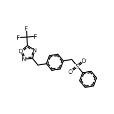 O=S(=O)(Cc1ccc(Cc2noc(C(F)(F)F)n2)cc1)c1ccccc1